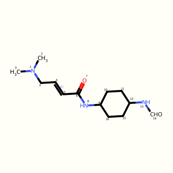 CN(C)C/C=C/C(=O)NC1CCC(NC=O)CC1